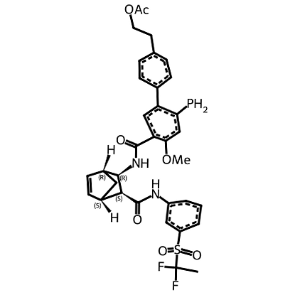 COc1cc(P)c(-c2ccc(CCOC(C)=O)cc2)cc1C(=O)N[C@H]1[C@@H](C(=O)Nc2cccc(S(=O)(=O)C(C)(F)F)c2)[C@@H]2C=C[C@H]1C2